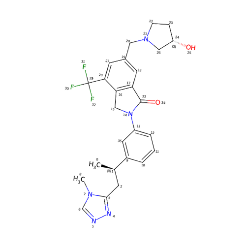 C[C@H](Cc1nncn1C)c1cccc(N2Cc3c(cc(CN4CC[C@H](O)C4)cc3C(F)(F)F)C2=O)c1